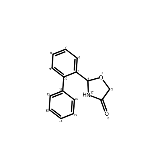 O=C1COC(c2ccccc2-c2ccccc2)N1